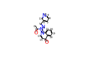 CC(=O)N(N=Cc1cccnc1)n1ccc(=O)c2ccccc21